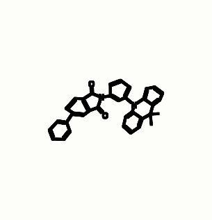 CC1(C)c2ccccc2N(c2cccc(N3C(=O)c4ccc(-c5ccccc5)cc4C3=O)c2)c2ccccc21